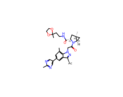 CC(=O)c1nn(CC(=O)N2[C@H](C(=O)NCCC3(C)OCCO3)C[C@@]3(C)C[C@@H]23)c2c(C)cc(-c3cnc(C)nc3)cc12